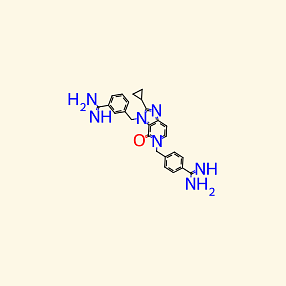 N=C(N)c1ccc(Cn2ccc3nc(C4CC4)n(Cc4cccc(C(=N)N)c4)c3c2=O)cc1